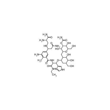 CCNC(=O)C(NC(=O)c1cc(C(CC(N)=O)NCC(N)C(N)=O)cc(N)c1C)C(OC1CC(CO)C(O)C(O)C1CC1OC(CO)C(O)C(OC(N)=O)C1O)c1c[nH]cn1